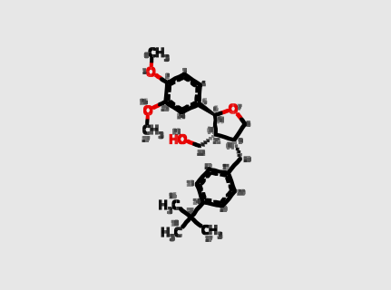 COc1ccc([C@H]2OC[C@H](Cc3ccc(C(C)(C)C)cc3)[C@@H]2CO)cc1OC